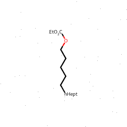 [CH2]COC(=O)OCCCCCCCCCCCC